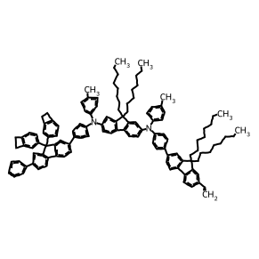 C=Cc1ccc2c(c1)C(CCCCCCCC)(CCCCCCCC)c1cc(-c3ccc(N(c4ccc(C)cc4)c4ccc5c(c4)C(CCCCCCCC)(CCCCCCCC)c4cc(N(c6ccc(C)cc6)c6ccc(-c7ccc8c(c7)C(c7ccc9c(c7)CC9)(c7ccc9c(c7)CC9)c7cc(-c9ccccc9)ccc7-8)cc6)ccc4-5)cc3)ccc1-2